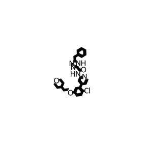 O=C(Nc1cc(-c2cc(OCCC3CCOCC3)ccc2Cl)ccn1)c1nnc(Cc2ccccc2)[nH]1